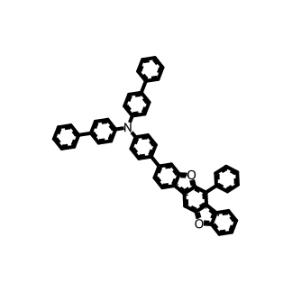 c1ccc(-c2ccc(N(c3ccc(-c4ccccc4)cc3)c3ccc(-c4ccc5c(c4)oc4c(-c6ccccc6)c6c(cc45)oc4ccccc46)cc3)cc2)cc1